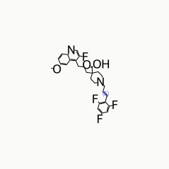 COc1ccc2ncc(F)c(CCCC3(C(=O)O)CCN(C/C=C/c4c(F)cc(F)cc4F)CC3)c2c1